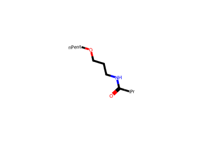 CCCCCOCCCNC(=O)C(C)C